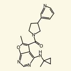 Cc1oc2ncnc(NC3(C)CC3)c2c1C(=O)N1CCC(c2cccnc2)C1